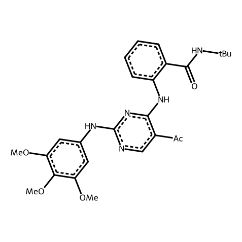 COc1cc(Nc2ncc(C(C)=O)c(Nc3ccccc3C(=O)NC(C)(C)C)n2)cc(OC)c1OC